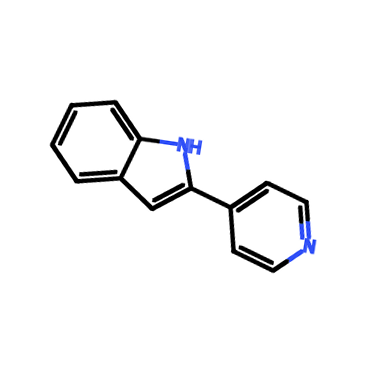 c1ccc2[nH]c(-c3ccncc3)cc2c1